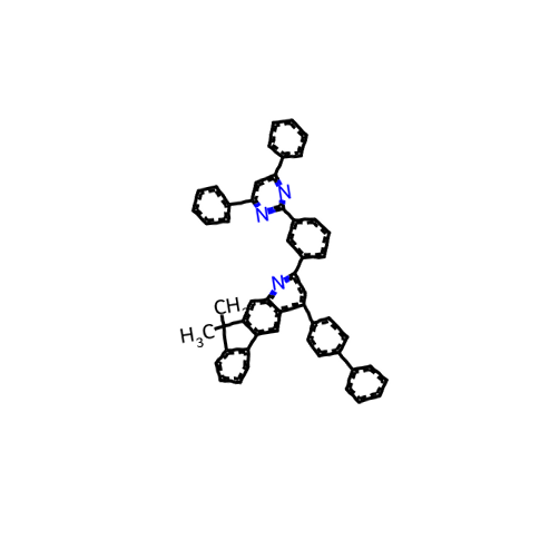 CC1(C)c2ccccc2-c2cc3c(-c4ccc(-c5ccccc5)cc4)cc(-c4cccc(-c5nc(-c6ccccc6)cc(-c6ccccc6)n5)c4)nc3cc21